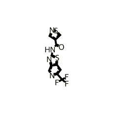 O=C(Nc1nc2cnc(C(F)(F)F)cc2s1)c1cnsc1